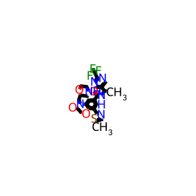 Cc1cnc(-c2cc(C(=O)NC(C)c3cnc(C(F)(F)F)nc3)cc3c2OCC(=O)N3CC2CNCCO2)s1